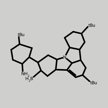 BC1CC2C3=CC(C(C)(C)C)CC4C5CC(C(C)(C)C)CCC5N(C2CC1C1CC(C(C)(C)C)CCC1N)C34